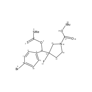 CSC(=S)OC(c1ccc(Br)cc1)C1(F)CCN(C(=O)OC(C)(C)C)C1